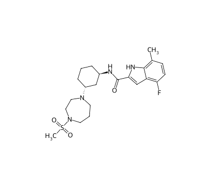 Cc1ccc(F)c2cc(C(=O)N[C@@H]3CCC[C@@H](N4CCCN(S(C)(=O)=O)CC4)C3)[nH]c12